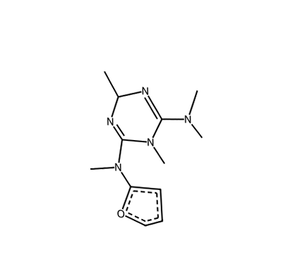 CC1N=C(N(C)C)N(C)C(N(C)c2ccco2)=N1